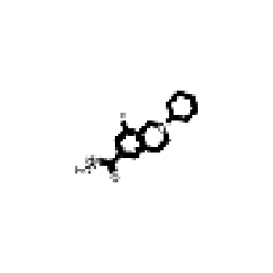 O=C(NO)c1cc(F)c2c(c1)CCN(C1CCCCC1)C2